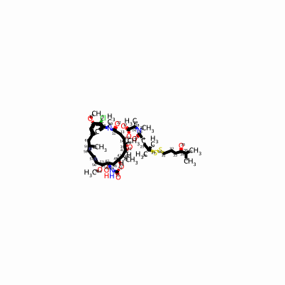 COc1cc2cc(c1Cl)N(C)C(=O)C[C@H](OC(=O)[C@H](C)N(C)C(=O)CCC(C)(C)SSCCCC(=O)C(C)C)[C@]1(C)O[C@H]1[C@H](C)[C@@H]1C[C@@](O)(NC(=O)O1)[C@H](OC)/C=C/C=C(\C)C2